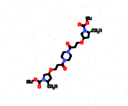 CC(C)(C)OC(=O)N1C[C@@H](OCCC(=O)N2CCN(C(=O)CCO[C@H]3C[C@@H](C(=O)O)N(C(=O)OC(C)(C)C)C3)CC2)C[C@H]1C(=O)O